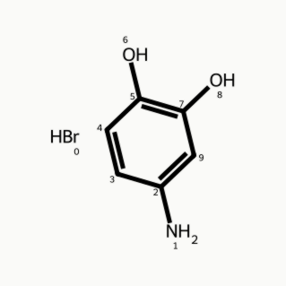 Br.Nc1ccc(O)c(O)c1